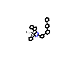 C[Si]1(C)c2c(-c3ccccc3)nc(-c3cccc(-c4cccc(-c5ccc(-c6ccccc6)cc5)c4)c3)nc2-c2ccc3ccccc3c21